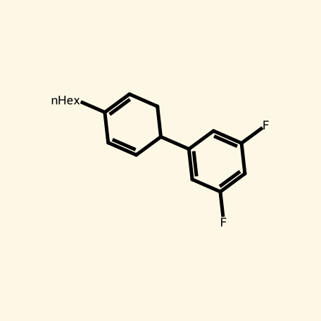 CCCCCCC1=CCC(c2cc(F)cc(F)c2)C=C1